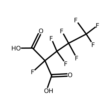 O=C(O)C(F)(C(=O)O)C(F)(F)C(F)(F)C(F)(F)F